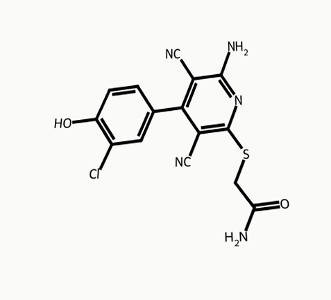 N#Cc1c(N)nc(SCC(N)=O)c(C#N)c1-c1ccc(O)c(Cl)c1